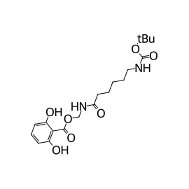 CC(C)(C)OC(=O)NCCCCCC(=O)NCOC(=O)c1c(O)cccc1O